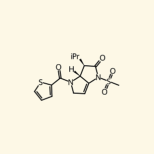 CC(C)[C@H]1C(=O)N(S(C)(=O)=O)C2=CCN(C(=O)c3cccs3)[C@@H]21